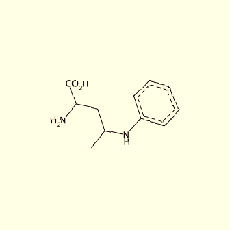 CC(CC(N)C(=O)O)Nc1ccccc1